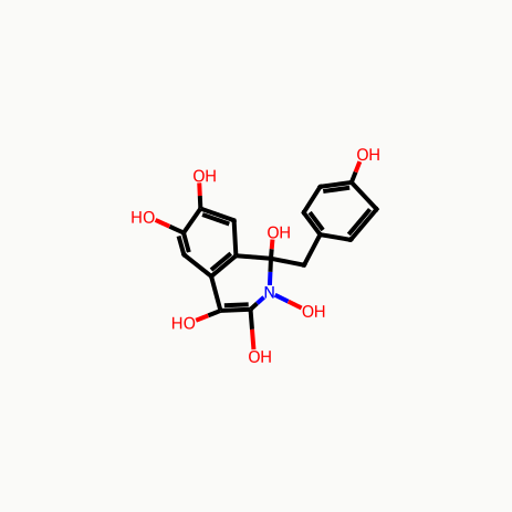 OC1=C(O)N(O)C(O)(Cc2ccc(O)cc2)c2cc(O)c(O)cc21